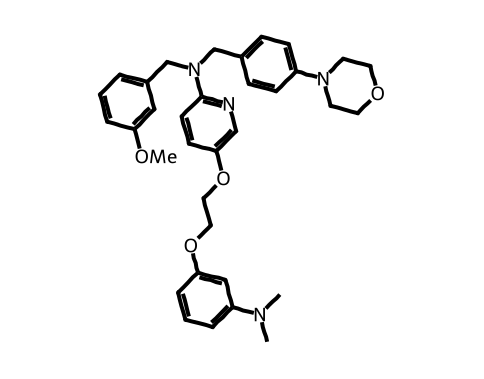 COc1cccc(CN(Cc2ccc(N3CCOCC3)cc2)c2ccc(OCCOc3cccc(N(C)C)c3)cn2)c1